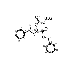 CC(C)(C)OC(=O)N1C[C@H](c2ccccc2)C[C@H]1C(=O)OCc1ccccc1